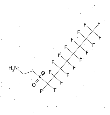 NC[CH]S(=O)(=O)C(F)(F)C(F)(F)C(F)(F)C(F)(F)C(F)(F)C(F)(F)C(F)(F)C(F)(F)F